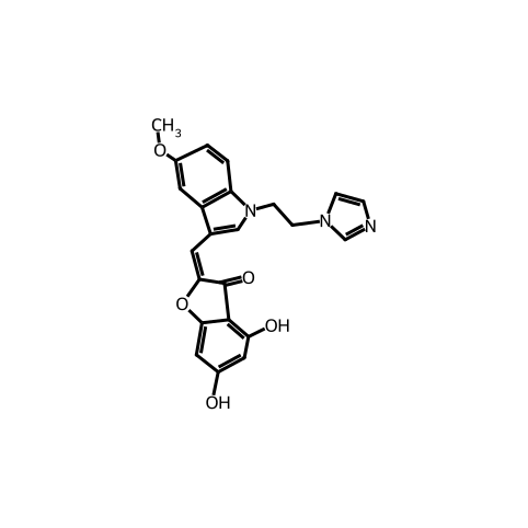 COc1ccc2c(c1)c(C=C1Oc3cc(O)cc(O)c3C1=O)cn2CCn1ccnc1